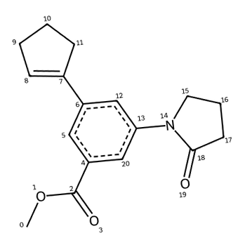 COC(=O)c1cc(C2=CCCC2)cc(N2CCCC2=O)c1